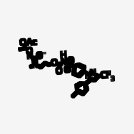 CC(=O)OC(C)O/N=[N+](\[O-])N(C)CCCOC(=O)NS(=O)(=O)c1ccc(-n2nc(C(F)(F)F)cc2-c2ccc(C)cc2)cc1